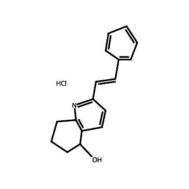 Cl.OC1CCCc2nc(C=Cc3ccccc3)ccc21